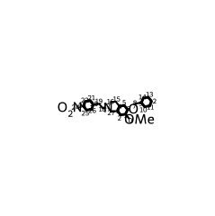 COc1cc2c(cc1OCc1ccccc1)CCN(CCc1ccc([N+](=O)[O-])cc1)C2